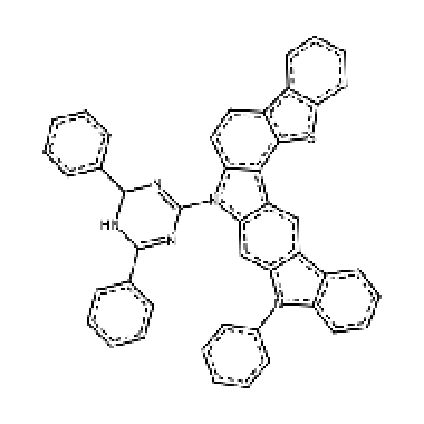 c1ccc(C2=NC(n3c4cc5c(cc4c4c6sc7ccccc7c6ccc43)c3ccccc3n5-c3ccccc3)=NC(c3ccccc3)N2)cc1